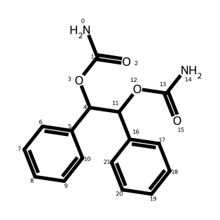 NC(=O)OC(c1ccccc1)C(OC(N)=O)c1ccccc1